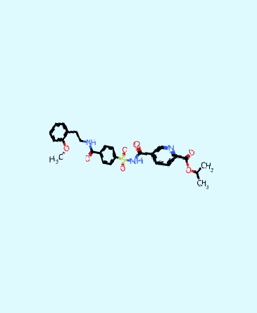 COc1ccccc1CCNC(=O)c1ccc(S(=O)(=O)NC(=O)c2ccc(C(=O)OC(C)C)nc2)cc1